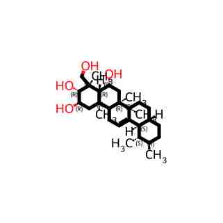 C[C@@H]1[C@H]2C3=CCC4[C@@]5(C)C[C@@H](O)[C@H](O)[C@@](C)(CO)[C@@H]5[C@H](O)C[C@@]4(C)[C@@]3(C)CC[C@@H]2CC[C@H]1C